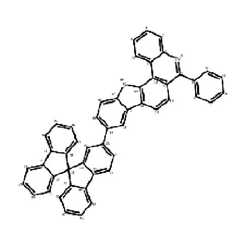 c1ccc(-c2nc3ccccc3c3c2ccc2c4cc(-c5ccc6c(c5)C5(c7ccccc7-c7ccccc75)c5ccccc5-6)ccc4sc23)cc1